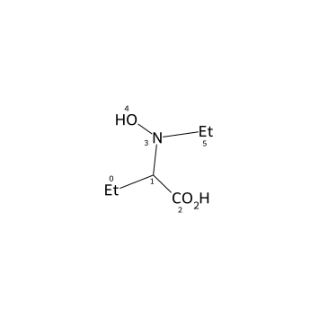 CCC(C(=O)O)N(O)CC